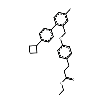 CCOC(=O)CCc1ccc(OCc2cc(F)ccc2-c2ccc(C3COC3)cc2)cc1